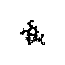 C=Cc1c(CC)ccc([SiH2]N(C)C)c1CC